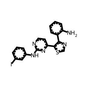 Nc1ccccc1-c1ncsc1-c1ccnc(Nc2cccc(I)c2)n1